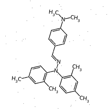 Cc1ccc(N(N=Cc2ccc(N(C)C)cc2)c2ccc(C)cc2C)c(C)c1